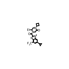 CCC1CN(C2CCC2)C(=O)CN1C(=O)c1nc2c(C(F)(F)F)cc(C3CC3)cc2n1C